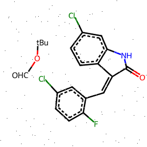 CC(C)(C)OC=O.O=C1Nc2cc(Cl)ccc2C1=Cc1cc(Cl)ccc1F